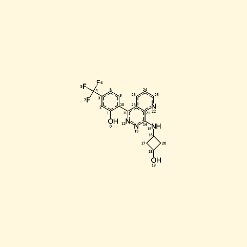 Oc1cc(C(F)(F)F)ccc1-c1nnc(NC2CC(O)C2)c2ncccc12